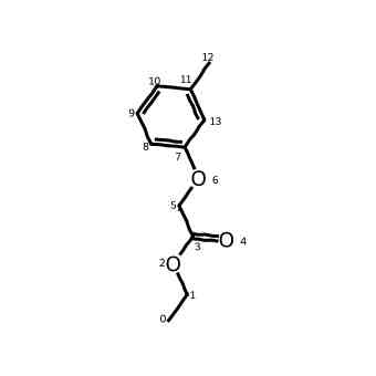 CCOC(=O)[CH]Oc1cccc(C)c1